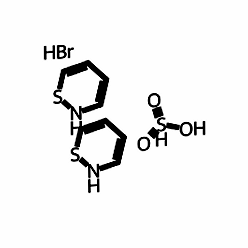 Br.C1=CNSC=C1.C1=CNSC=C1.O=[SH](=O)O